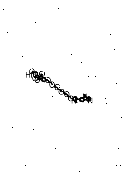 Cc1nc(OCCOCCOCCOCCOCCOc2ccc3c(c2)C(=O)N(C2CCC(=O)NC2=O)C3=O)ccc1-c1ccc2c3cnccc3n(C)c2c1